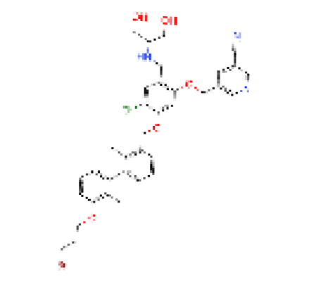 Cc1c(COc2cc(OCc3cncc(C#N)c3)c(CNC(CO)CO)cc2Cl)cccc1-c1cccc(OCCCBr)c1C